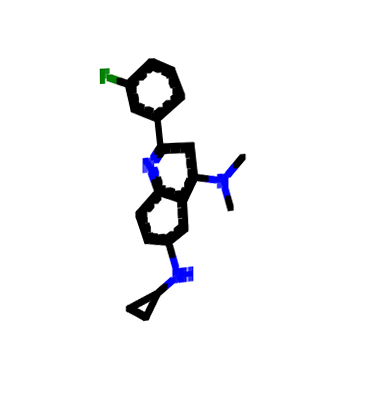 CN(C)c1cc(-c2cccc(F)c2)nc2ccc(NC3CC3)cc12